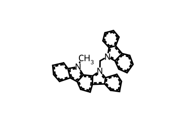 Cn1c2ccccc2c2ccc3c4ccccc4n(Cn4c5ccccc5c5ccccc54)c3c21